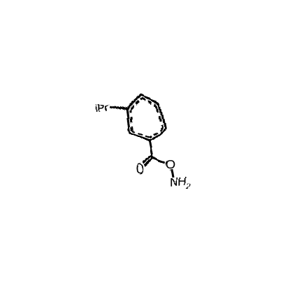 CC(C)c1cccc(C(=O)ON)c1